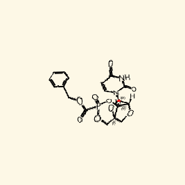 O=C(OCc1ccccc1)P1(=O)OC[C@@]23CO[C@@H]([C@H](n4ccc(=O)[nH]c4=O)O2)[C@@H]3O1